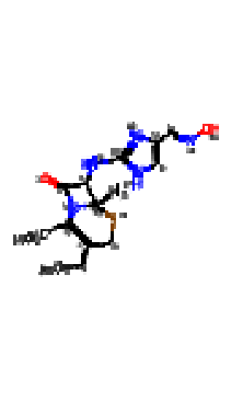 CC(=O)OCC1=C(C(=O)O)N2C(=O)C(Nc3nc(C=NO)c[nH]3)[C@@H]2SC1